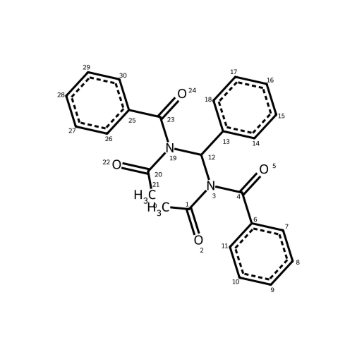 CC(=O)N(C(=O)c1ccccc1)C(c1ccccc1)N(C(C)=O)C(=O)c1ccccc1